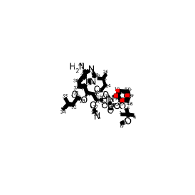 COC(C)(C)COC(=O)[C@H](C)NP(=O)(OC[C@@H](OC#N)[C@@H](OC(=O)CC(C)C)[C@@H](OC(=O)CC(C)C)c1ccc2c(N)ncnn12)Oc1ccccc1